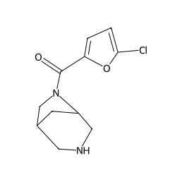 O=C(c1ccc(Cl)o1)N1CC2CNCC1C2